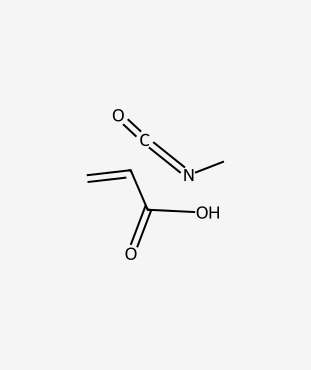 C=CC(=O)O.CN=C=O